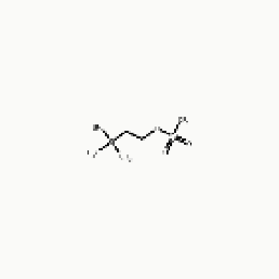 CC(C)(C)[Si](C)(C)CCOS(=O)(=O)C(F)(F)F